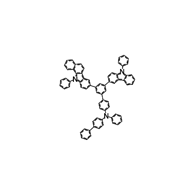 c1ccc(-c2ccc(N(c3ccccc3)c3ccc(-c4cc(-c5ccc6c(c5)c5ccccc5n6-c5ccccc5)cc(-c5ccc6c(c5)c5ccc7ccccc7c5n6-c5ccccc5)c4)cc3)cc2)cc1